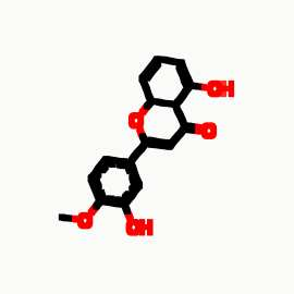 COc1ccc(C2=CC(=O)C3C(O)=CC=CC3O2)cc1O